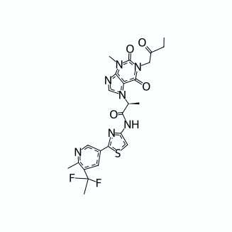 CCC(=O)Cn1c(=O)c2c(ncn2[C@@H](C)C(=O)Nc2csc(-c3cnc(C)c(C(C)(F)F)c3)n2)n(C)c1=O